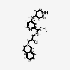 C=C(NCC(O)CN1CCc2ccccc2C1)c1cc(NC2CCNCC2)ccn1